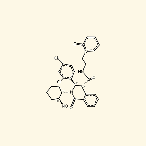 O=N[C@H]1CCCC[C@@H]1N1C(=O)c2ccccc2[C@@H](C(=O)NCCn2ccccc2=O)[C@@H]1c1ccc(Cl)cc1Cl